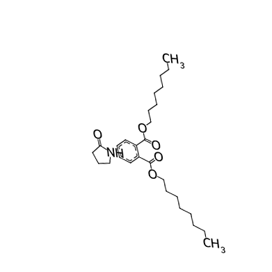 CCCCCCCCOC(=O)c1ccccc1C(=O)OCCCCCCCC.O=C1CCCN1